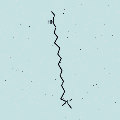 CCNCCCCCCCCCCCCCC[N+](C)(C)C